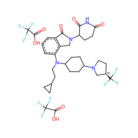 O=C(O)C(F)(F)F.O=C(O)C(F)(F)F.O=C1CCC(N2Cc3c(cccc3N(CCC3CC3)C3CCC(N4CC[C@@H](C(F)(F)F)C4)CC3)C2=O)C(=O)N1